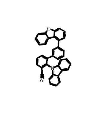 N#Cc1cccc(-c2cccc(-c3cccc4oc5ccccc5c34)c2)c1-n1c2ccccc2c2ccccc21